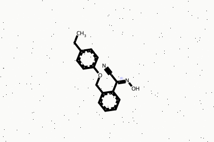 CCc1ccc(OCc2ccccc2/C(C#N)=N\O)cc1